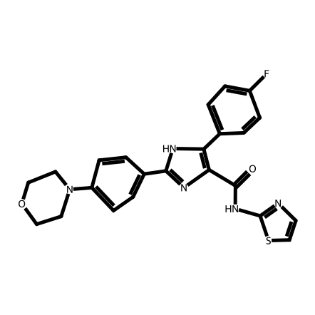 O=C(Nc1nccs1)c1nc(-c2ccc(N3CCOCC3)cc2)[nH]c1-c1ccc(F)cc1